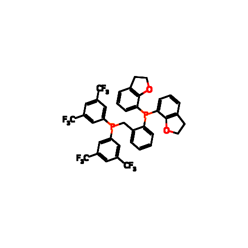 FC(F)(F)c1cc(P(Cc2ccccc2P(c2cccc3c2OCC3)c2cccc3c2OCC3)c2cc(C(F)(F)F)cc(C(F)(F)F)c2)cc(C(F)(F)F)c1